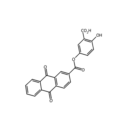 O=C(Oc1ccc(O)c(C(=O)O)c1)c1ccc2c(c1)C(=O)c1ccccc1C2=O